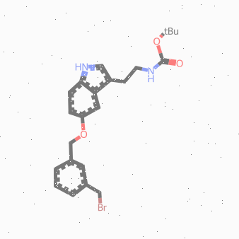 CC(C)(C)OC(=O)NCCc1c[nH]c2ccc(OCc3cccc(CBr)c3)cc12